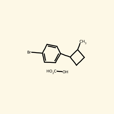 CC1CCC1c1ccc(Br)cc1.O=C(O)O